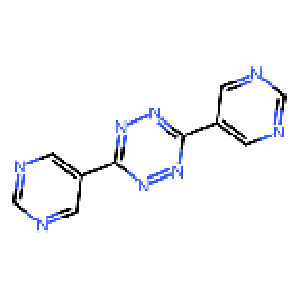 c1ncc(-c2nnc(-c3cncnc3)nn2)cn1